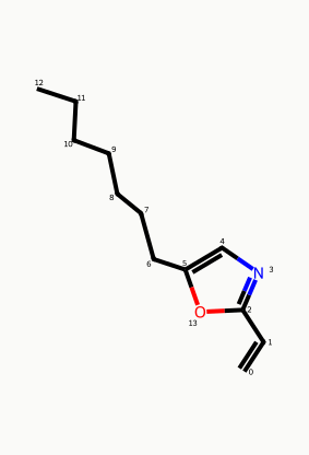 C=Cc1ncc(CCCCCCC)o1